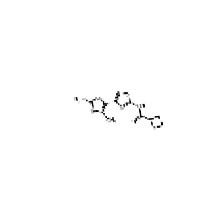 Cc1nc(C)c(-c2csc(NC(=O)C3CCC3)n2)s1